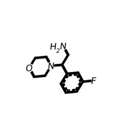 NCC(c1cccc(F)c1)N1CCOCC1